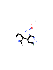 Cc1ncccc1-c1cc(Cl)ncc1N(C)C(=O)OC(C)(C)C